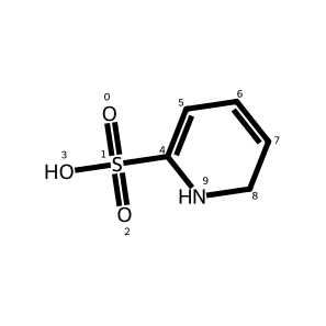 O=S(=O)(O)C1=CC=CCN1